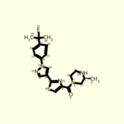 C[C@H]1CN(C(=O)c2csc(-c3cnn(-c4ccc(C(C)(C)F)cc4)c3)n2)CCN1